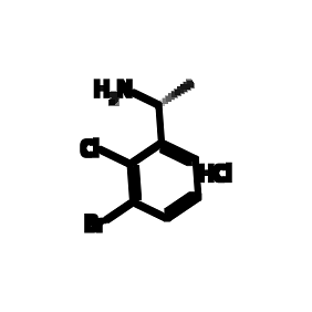 C[C@@H](N)c1cccc(Br)c1Cl.Cl